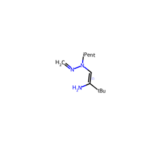 C=NN(/C=C(\N)C(C)(C)C)C(C)CCC